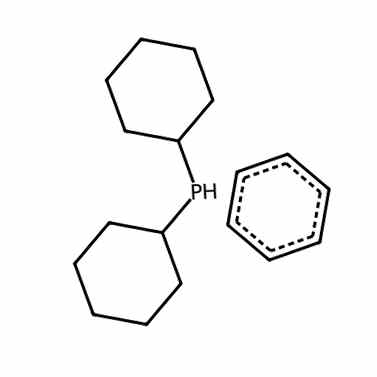 C1CCC(PC2CCCCC2)CC1.c1ccccc1